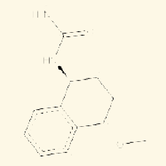 CO[C@H]1CC[C@H](NC(N)=O)c2ccccc21